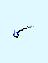 CSCCC=Cc1ccccn1